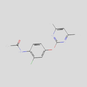 Cc1cc(C)nc(Oc2ccc(NC(=O)C(C)(C)C)c(Cl)c2)n1